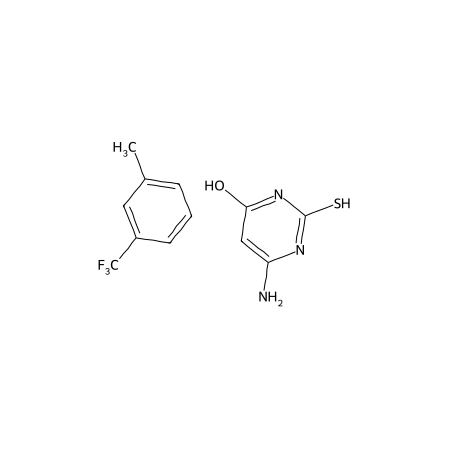 Cc1cccc(C(F)(F)F)c1.Nc1cc(O)nc(S)n1